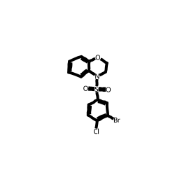 O=S(=O)(c1ccc(Cl)c(Br)c1)N1CCOc2ccccc21